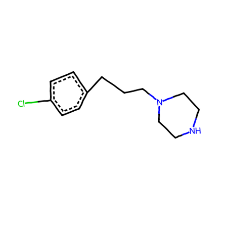 Clc1ccc(CCCN2CCNCC2)cc1